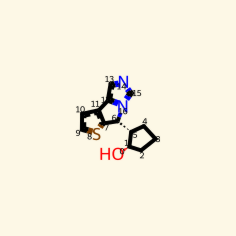 O[C@H]1CCC[C@H]1C1c2sccc2-c2cncn21